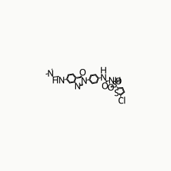 CN(C)CCNc1ccc2c(=O)n(-c3ccc(NC(=O)NS(=O)(=O)c4ccc(Cl)s4)cc3)cnc2c1